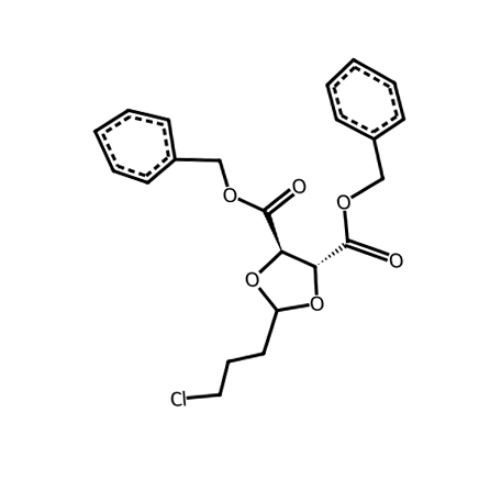 O=C(OCc1ccccc1)[C@@H]1OC(CCCCl)O[C@H]1C(=O)OCc1ccccc1